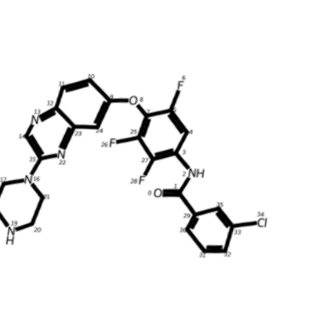 O=C(Nc1cc(F)c(Oc2ccc3ncc(N4CCNCC4)nc3c2)c(F)c1F)c1cccc(Cl)c1